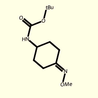 CON=C1CCC(NC(=O)OC(C)(C)C)CC1